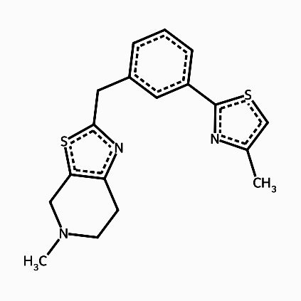 Cc1csc(-c2cccc(Cc3nc4c(s3)CN(C)CC4)c2)n1